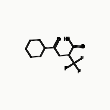 O=C(CC(C(=O)S)C(F)(F)F)C1CCCCC1